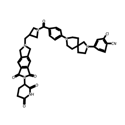 N#Cc1ccc(N2CCC3(CCN(c4ccc(C(=O)N5CC(CN6Cc7cc8c(cc7C6)C(=O)N(C6CCC(=O)NC6=O)C8=O)C5)cc4)CC3)C2)cc1Cl